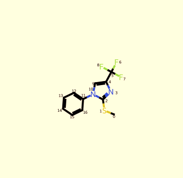 CSc1nc(C(F)(F)F)cn1-c1ccccc1